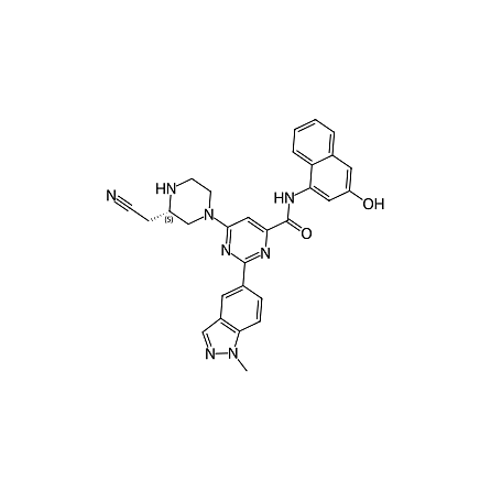 Cn1ncc2cc(-c3nc(C(=O)Nc4cc(O)cc5ccccc45)cc(N4CCN[C@@H](CC#N)C4)n3)ccc21